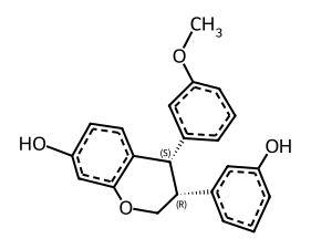 COc1cccc([C@H]2c3ccc(O)cc3OC[C@H]2c2cccc(O)c2)c1